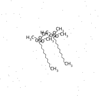 CCCCCCCCCCCC[Si](OCC)(OCC)OCC.CCCCCCCCCCCC[Si](OCC)(OCC)OCC